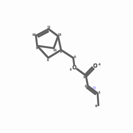 C/C=C/C(=O)OCC1CC2C=CC1C2